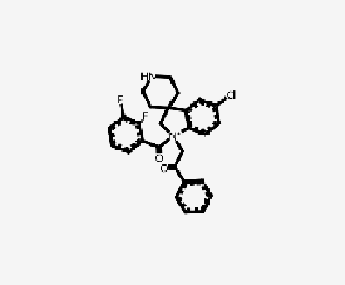 O=C(C[N+]1(C(=O)c2cccc(F)c2F)CC2(CCNCC2)c2cc(Cl)ccc21)c1ccccc1